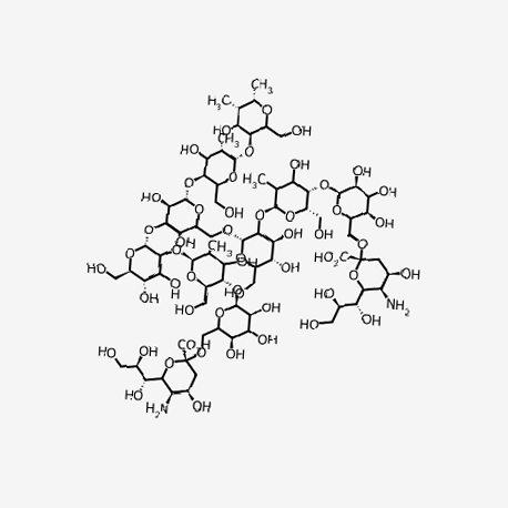 CC1C(O)[C@H](O[C@@H]2OC(CO[C@]3(C(=O)O)C[C@@H](O)[C@@H](N)C([C@H](O)[C@H](O)CO)O3)[C@H](O)C(O)[C@@H]2O)[C@H](CO)O[C@H]1OC1[C@@H](OCC2O[C@@H](O[C@@H]3C(CO)O[C@@H](O[C@@H]4C(CO)O[C@@H](C)[C@@H](C)C4O)[C@@H](C)C3O)[C@H](O)C(O[C@H]3O[C@H](CO)[C@@H](O)C(O)C3O[C@@H]3OC(CO)[C@@H](O[C@@H]4OC(CO[C@]5(C(=O)O)C[C@@H](O)[C@@H](N)C([C@H](O)[C@H](O)CO)O5)[C@H](O)C(O)[C@@H]4O)C(O)[C@@H]3C)[C@@H]2O)OC(CO)[C@@H](O)[C@@H]1O